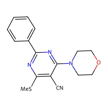 CSc1nc(-c2ccccc2)nc(N2CCOCC2)c1C#N